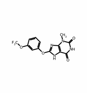 Cn1c(=O)[nH]c(=O)c2[nH]c(Oc3cccc(OC(F)(F)F)c3)nc21